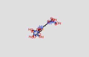 O=C(O)CNC(=O)N[C@@H](CCC(=O)NCCCCCCNC(=S)Nc1ccc(CC2CN(CC(=O)O)CCN(CC(=O)O)CCN(CC(=O)O)CCN2CC(=O)O)cc1)C(=O)O